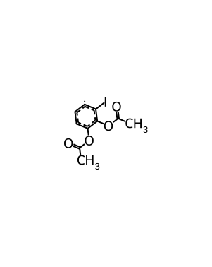 CC(=O)Oc1cc[c]c(I)c1OC(C)=O